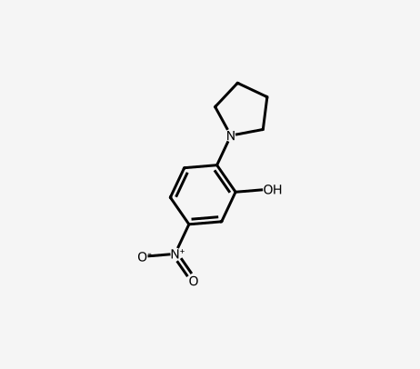 O=[N+]([O-])c1ccc(N2CCCC2)c(O)c1